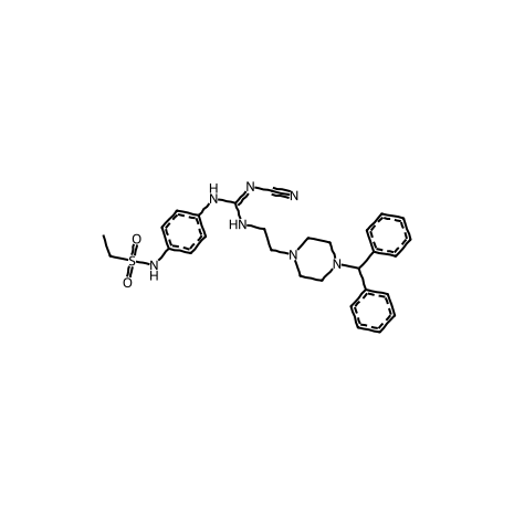 CCS(=O)(=O)Nc1ccc(N/C(=N/C#N)NCCN2CCN(C(c3ccccc3)c3ccccc3)CC2)cc1